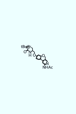 CC(=O)Nc1cc2c(cn1)COc1cc(OCC(CC(C)C)NC(=O)OC(C)(C)C)ccc1-2